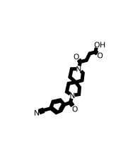 N#Cc1ccc(C(=O)N2CCC3(CCN(C(=O)CCC(=O)O)CC3)CC2)cc1